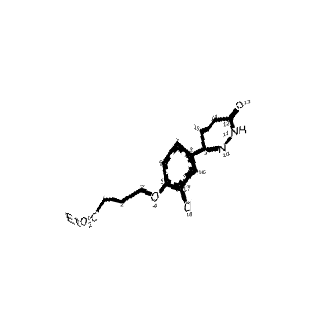 CCOC(=O)CCCOc1ccc(C2=NNC(=O)CC2)cc1Cl